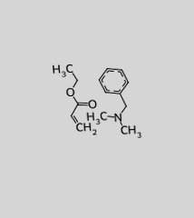 C=CC(=O)OCC.CN(C)Cc1ccccc1